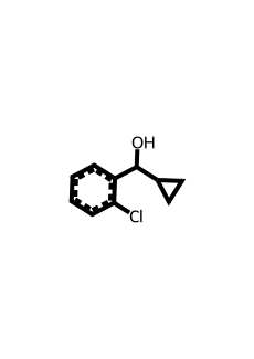 OC(c1ccccc1Cl)C1CC1